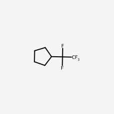 FC(F)(F)C(F)(F)C1CCCC1